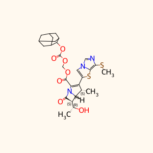 CSc1ncn2cc(C3=C(C(=O)OCOC(=O)OC4C5CC6CC(C5)CC4C6)N4C(=O)[C@H]([C@@H](C)O)[C@H]4[C@H]3C)sc12